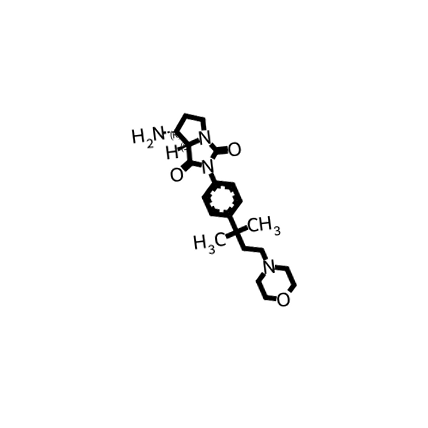 CC(C)(CCN1CCOCC1)c1ccc(N2C(=O)[C@@H]3[C@H](N)CCN3C2=O)cc1